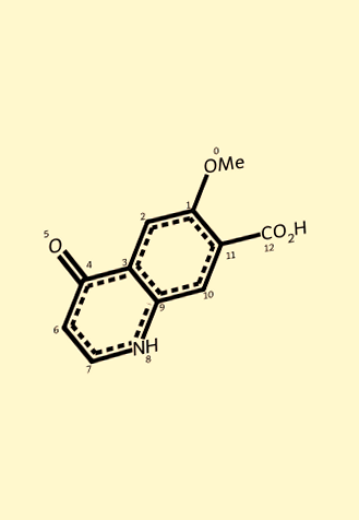 COc1cc2c(=O)cc[nH]c2cc1C(=O)O